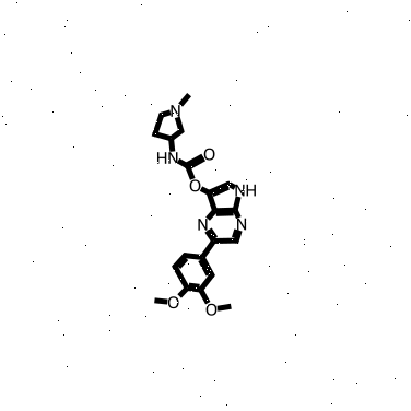 COc1ccc(-c2cnc3[nH]cc(OC(=O)NC4CCN(C)C4)c3n2)cc1OC